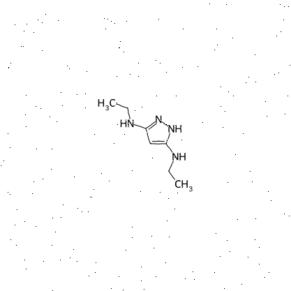 CCNc1cc(NCC)[nH]n1